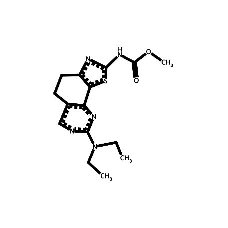 CCN(CC)c1ncc2c(n1)-c1sc(NC(=O)OC)nc1CC2